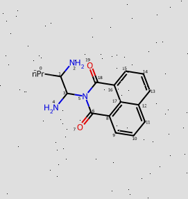 CCCC(N)C(N)N1C(=O)c2cccc3cccc(c23)C1=O